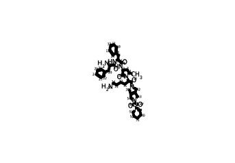 CC1CC(NC(=O)C(Cc2ccccc2)NC(=O)C(N)Cc2ccccc2)C(=O)N1C(CCCCN)C(=O)N1CC2=C(C1)CN(S(=O)(=O)N1CCCCC1)C2